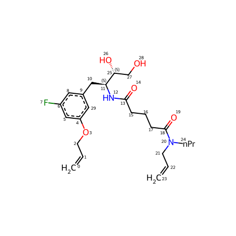 C=CCOc1cc(F)cc(C[C@H](NC(=O)CCCC(=O)N(CC=C)CCC)[C@H](O)CO)c1